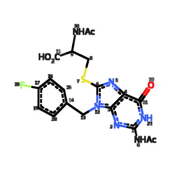 CC(=O)Nc1nc2c(nc(SCC(NC(C)=O)C(=O)O)n2Cc2ccc(F)cc2)c(=O)[nH]1